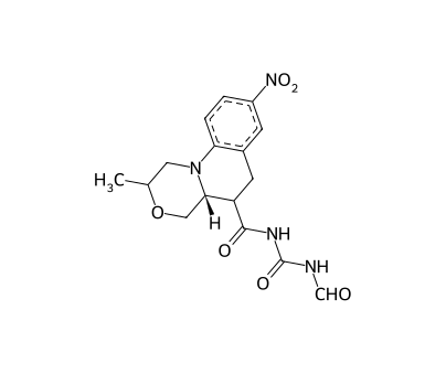 CC1CN2c3ccc([N+](=O)[O-])cc3CC(C(=O)NC(=O)NC=O)[C@@H]2CO1